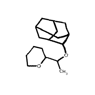 CC(OC1C2CC3CC(C2)CC1C3)C1CCCCO1